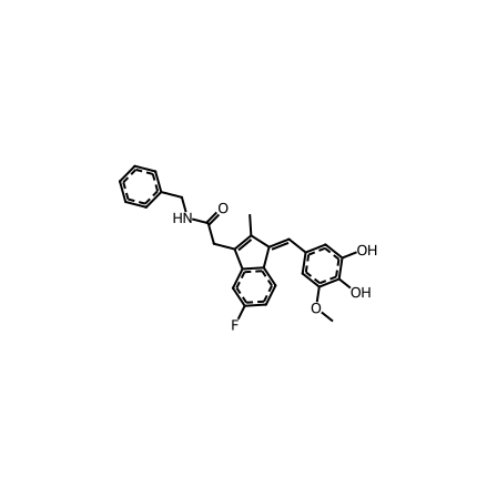 COc1cc(/C=C2/C(C)=C(CC(=O)NCc3ccccc3)c3cc(F)ccc32)cc(O)c1O